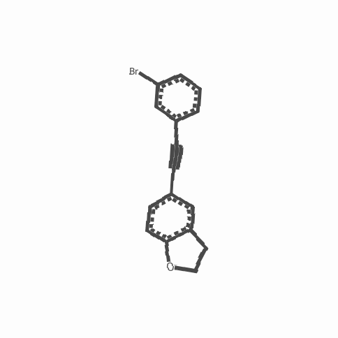 Brc1cccc(C#Cc2ccc3c(c2)CCO3)c1